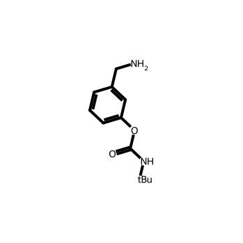 CC(C)(C)NC(=O)Oc1cccc(CN)c1